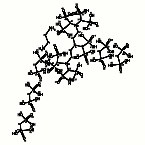 NCCN.O=P(O)(O)C(N(CCN(C(P(=O)(O)O)P(=O)(O)O)C(P(=O)(O)O)P(=O)(O)O)CCN(C(P(=O)(O)O)P(=O)(O)O)C(P(=O)(O)O)P(=O)(O)O)P(=O)(O)O.O=P(O)(O)CP(=O)(O)O.O=P(O)(O)CP(=O)(O)O.O=P(O)(O)CP(=O)(O)O.O=P(O)(O)CP(=O)(O)O.O=P(O)(O)CP(=O)(O)O